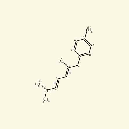 CC(=O)/C(=C\C=C\N(C)C)Cc1ccc(C)cc1